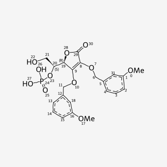 COc1cccc(COC2=C(OCc3cccc(OC)c3)[C@@H]([C@H](CO)OP(=O)(O)O)OC2=O)c1